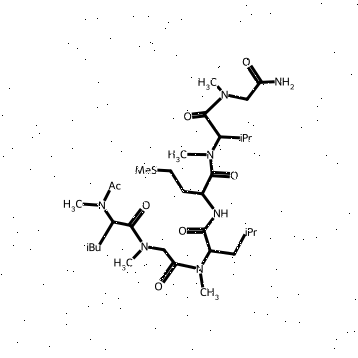 CCC(C)C(C(=O)N(C)CC(=O)N(C)C(CC(C)C)C(=O)NC(CCSC)C(=O)N(C)C(C(=O)N(C)CC(N)=O)C(C)C)N(C)C(C)=O